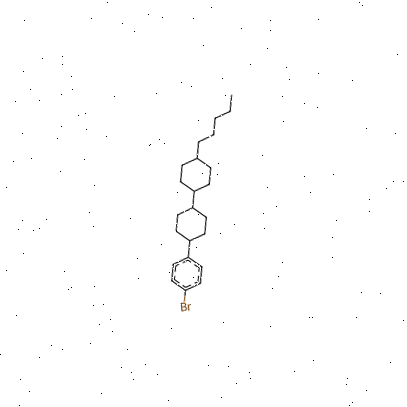 CCCCCC1CCC(C2CCC(c3ccc(Br)cc3)CC2)CC1